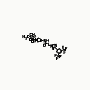 CC(C)(C)OC(=O)N1CC2C(C1)C2NC(=O)C=Cn1cnc(-c2cc(C(F)(F)F)cc(C(F)(F)F)c2)n1